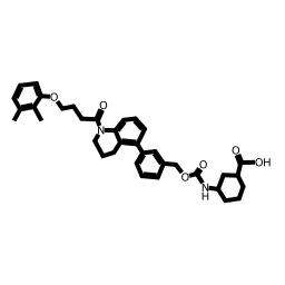 Cc1cccc(OCCCC(=O)N2CCCc3c(-c4cccc(COC(=O)NC5CCCC(C(=O)O)C5)c4)cccc32)c1C